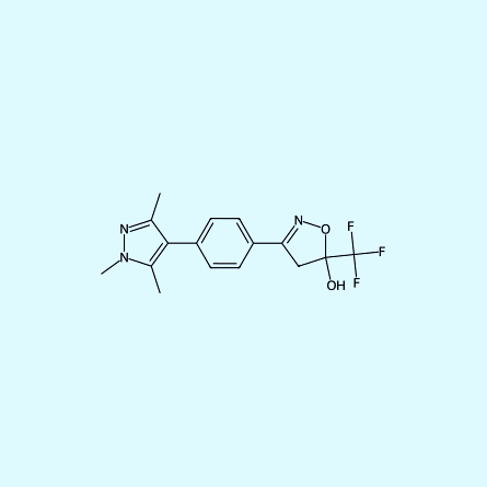 Cc1nn(C)c(C)c1-c1ccc(C2=NOC(O)(C(F)(F)F)C2)cc1